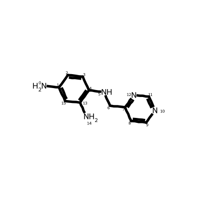 Nc1ccc(NCc2ccncn2)c(N)c1